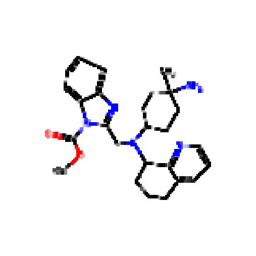 CC1(N)CCC(N(Cc2nc3ccccc3n2C(=O)OC(C)(C)C)C2CCCc3cccnc32)CC1